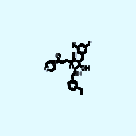 CCc1cccc(CNCC(O)C(Cc2cc(F)cc(F)c2)NC(=O)CCC(=O)N2CCOCC2)c1